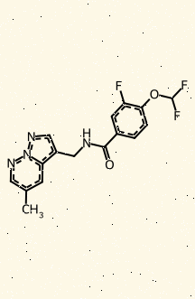 Cc1cnn2ncc(CNC(=O)c3ccc(OC(F)F)c(F)c3)c2c1